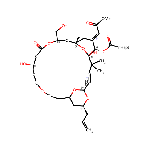 C=CC[C@H]1CC2CCOCC[C@@H](O)CC(=O)O[C@@H](CO)C[C@@H]3C/C(=C\C(=O)OC)[C@H](OC(=O)CCCCCCC)[C@@](O)(O3)C(C)(C)/C=C/[C@H](O2)O1